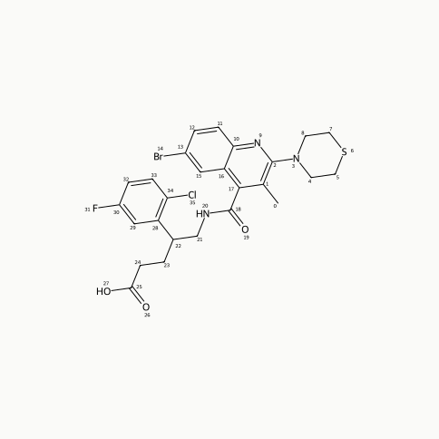 Cc1c(N2CCSCC2)nc2ccc(Br)cc2c1C(=O)NCC(CCC(=O)O)c1cc(F)ccc1Cl